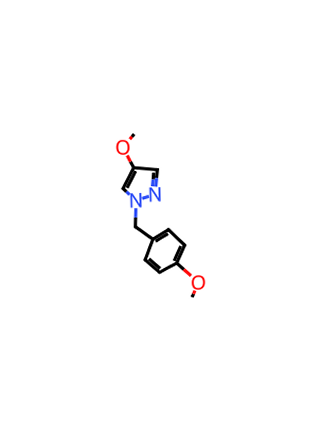 COc1ccc(Cn2cc(OC)cn2)cc1